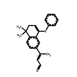 C/C(=C\C=O)c1ccc2c(c1)C(Sc1ccccc1)=CCC2(C)C